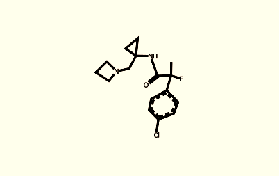 CC(F)(C(=O)NC1(CN2CCC2)CC1)c1ccc(Cl)cc1